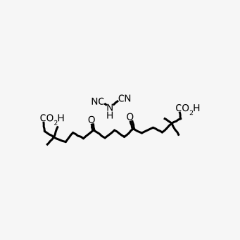 CC(C)(CCCC(=O)CCCC(=O)CCCC(C)(C)CC(=O)O)CC(=O)O.N#CNC#N